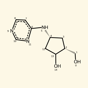 OC[C@H]1C[C@@H](Nc2ccncn2)CC1O